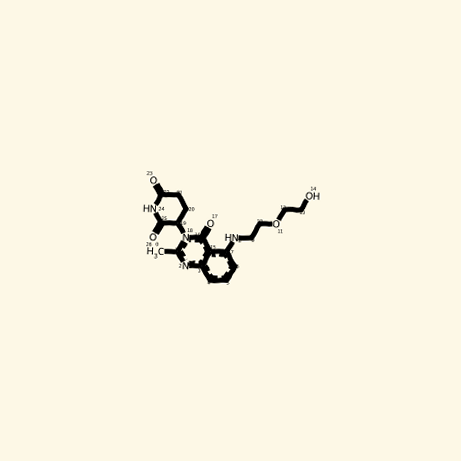 Cc1nc2cccc(NCCOCCO)c2c(=O)n1C1CCC(=O)NC1=O